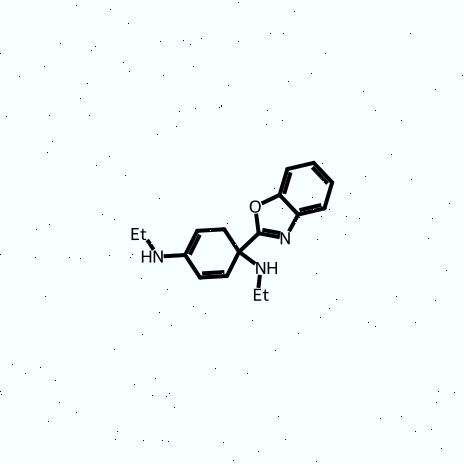 CCNC1=CCC(NCC)(c2nc3ccccc3o2)C=C1